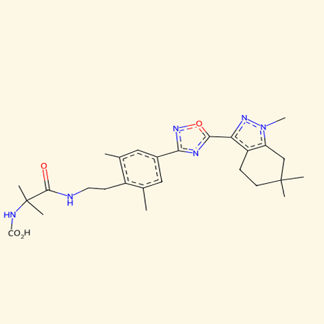 Cc1cc(-c2noc(-c3nn(C)c4c3CCC(C)(C)C4)n2)cc(C)c1CCNC(=O)C(C)(C)NC(=O)O